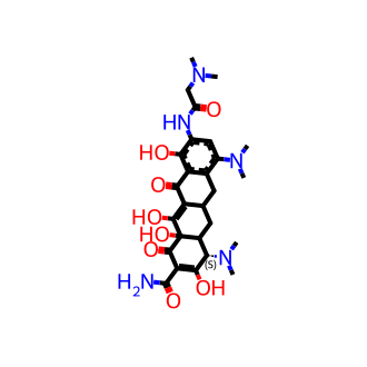 CN(C)CC(=O)Nc1cc(N(C)C)c2c(c1O)C(=O)C1=C(O)C3(O)C(=O)C(C(N)=O)=C(O)[C@@H](N(C)C)C3CC1C2